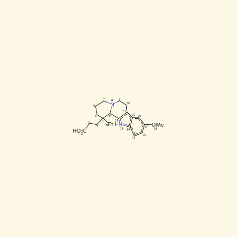 CCC1(CCC(=O)O)CCCN2CCc3c([nH]c4ccc(OC)cc34)C21